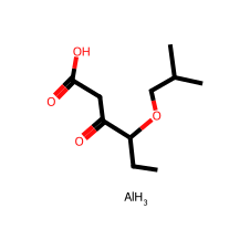 CCC(OCC(C)C)C(=O)CC(=O)O.[AlH3]